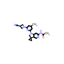 CC(=O)Nc1cc2c(cn1)C1(CC1)CN2c1cc(C)cc(N2CC(C#N)C2)n1